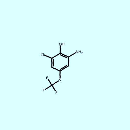 Nc1cc(SC(F)(F)F)cc(Cl)c1O